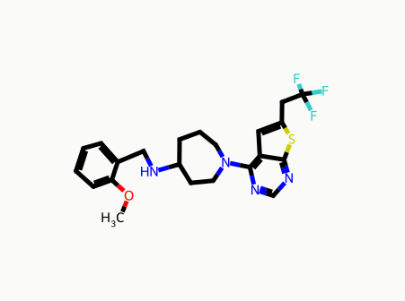 COc1ccccc1CNC1CCCN(c2ncnc3sc(CC(F)(F)F)cc23)CC1